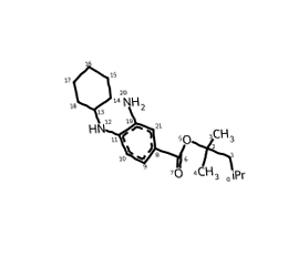 CC(C)CC(C)(C)OC(=O)c1ccc(NC2CCCCC2)c(N)c1